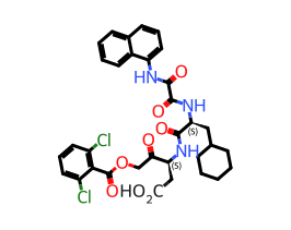 O=C(O)C[C@H](NC(=O)[C@H](CC1CCCCC1)NC(=O)C(=O)Nc1cccc2ccccc12)C(=O)COC(=O)c1c(Cl)cccc1Cl